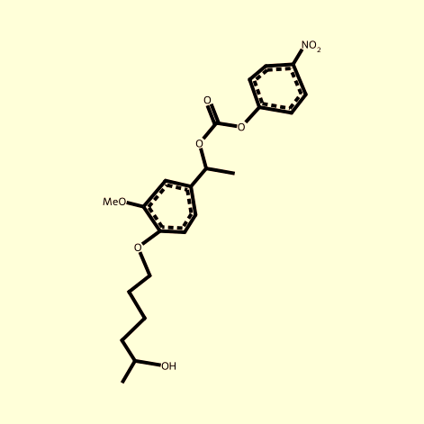 COc1cc(C(C)OC(=O)Oc2ccc([N+](=O)[O-])cc2)ccc1OCCCCC(C)O